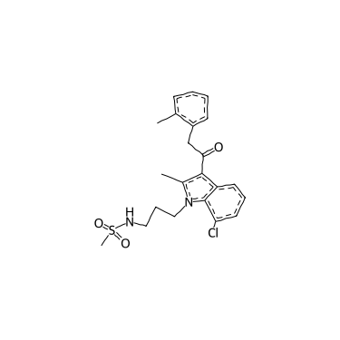 Cc1ccccc1CC(=O)c1c(C)n(CCCNS(C)(=O)=O)c2c(Cl)cccc12